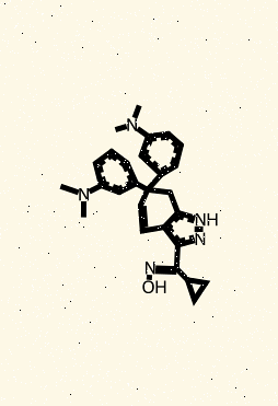 CN(C)c1cccc(C2(c3cccc(N(C)C)c3)C=Cc3c(C(=NO)C4CC4)n[nH]c3C2)c1